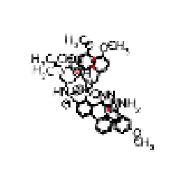 COc1ccc(CN(Cc2ccc(OC)cc2)S(=O)(=O)c2c(S(=O)(=O)N[C@H](CO)CN(C(=O)O)C(C)(C)C)ccc(-c3cccc4sc(N)nc34)c2-c2nnnn2Cc2ccc(OC)cc2)cc1